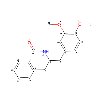 COc1ccc(CC(Cc2ccccc2)NC=O)cc1OC